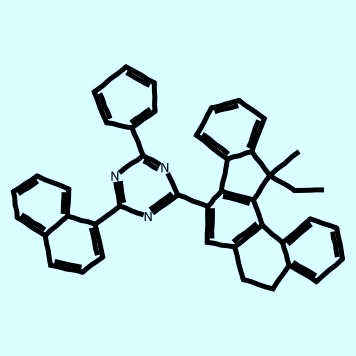 CCC1(C)c2ccccc2-c2c(-c3nc(-c4ccccc4)nc(-c4cccc5ccccc45)n3)cc3c(c21)-c1ccccc1CC3